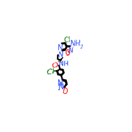 Cn1nc(-c2ccc(C(=O)N[C@@H]3CCN(c4ncc(Cl)c5c(N)noc45)C3)c(Cl)c2)ccc1=O